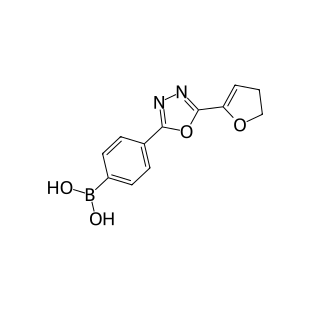 OB(O)c1ccc(-c2nnc(C3=CCCO3)o2)cc1